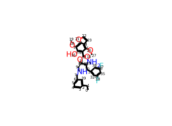 CCc1cccc(CNC[C@@H](OC(=O)c2c(O)c(OC)c3occc3c2OC)[C@@H](N)Cc2cc(F)cc(F)c2)c1